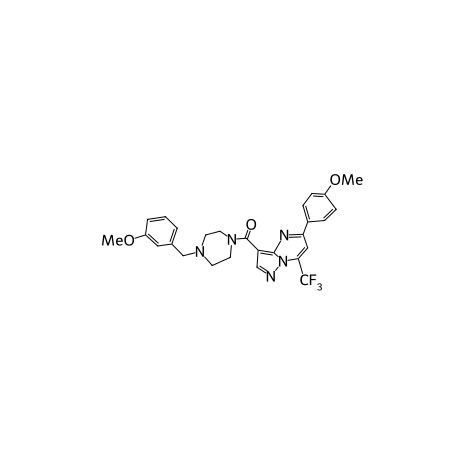 COc1ccc(-c2cc(C(F)(F)F)n3ncc(C(=O)N4CCN(Cc5cccc(OC)c5)CC4)c3n2)cc1